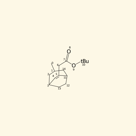 CC1CC2C=C(CC(=O)OC(C)(C)C)C(CC2)C1